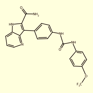 NC(=O)c1[nH]c2cccnc2c1-c1ccc(NC(=O)Nc2ccc(OC(F)(F)F)cc2)cc1